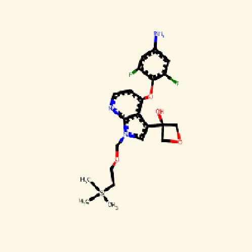 C[Si](C)(C)CCOCn1cc(C2(O)COC2)c2c(Oc3c(F)cc(N)cc3F)ccnc21